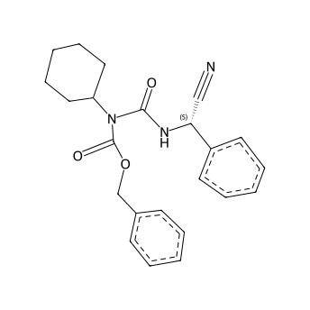 N#C[C@@H](NC(=O)N(C(=O)OCc1ccccc1)C1CCCCC1)c1ccccc1